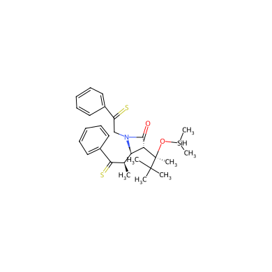 C[C@@H](C(=S)c1ccccc1)[C@@H]1[C@@H]([C@@](C)(O[SiH](C)C)C(C)(C)C)C(=O)N1CC(=S)c1ccccc1